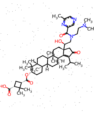 Cc1cncc(C(=O)N(CCN(C)C)C[C@H](O)[C@@]23CC[C@]4(C)[C@H](CC[C@@H]5[C@@]6(C)CC[C@H](OC(=O)[C@H]7C[C@@H](C(=O)O)C7(C)C)C(C)(C)[C@@H]6CC[C@]54C)C2=C(C(C)C)C(=O)C3)n1